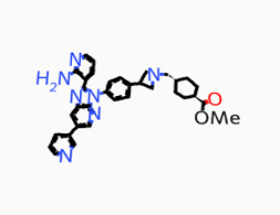 COC(=O)[C@H]1CC[C@H](CN2CC(c3ccc(-n4c(-c5cccnc5N)nc5cc(-c6cccnc6)cnc54)cc3)C2)CC1